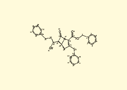 O=C(OCc1ccccc1)C1=C(Sc2ccccc2)CC2C(C(O)CCc3ccccc3)C(=O)N12